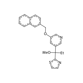 CCC(OC)(c1cncc(OCc2ccc3ccccc3c2)c1)c1nccs1